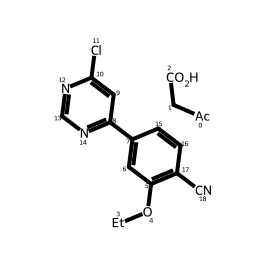 CC(=O)CC(=O)O.CCOc1cc(-c2cc(Cl)ncn2)ccc1C#N